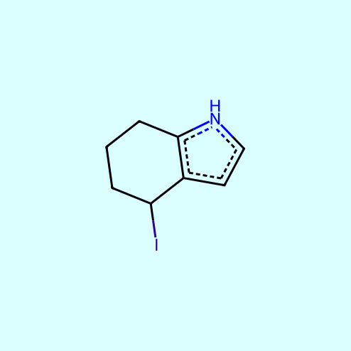 IC1CCCc2[nH]ccc21